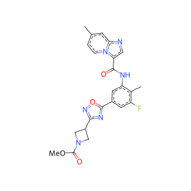 COC(=O)N1CC(c2noc(-c3cc(F)c(C)c(NC(=O)c4cnc5cc(C)ccn45)c3)n2)C1